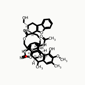 COc1c(C)cc2c(c1O)[C@H]1N[C@@H](C2C)[C@H](C#N)N2[C@H]1[C@@H]1SC[C@]3(N[C@H](CO)Cc4c3oc3ccccc43)C(=O)OC[C@H]2c2c3c(c(C)c(OC(C)=O)c21)OCO3